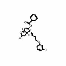 O=C1C[C@@H]2[C@@H](C=CCCOc3cccc(Cl)c3)[C@H](OC(=O)c3ccccc3)C[C@@H]2O1